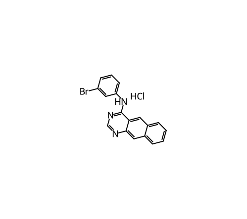 Brc1cccc(Nc2ncnc3cc4ccccc4cc23)c1.Cl